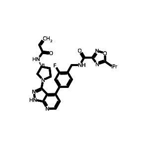 C=CC(=O)N[C@@H]1CCN(c2n[nH]c3nccc(-c4ccc(CNC(=O)c5noc(C(C)C)n5)c(F)c4)c23)C1